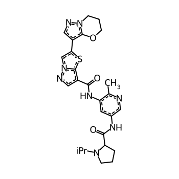 Cc1ncc(NC(=O)C2CCCN2C(C)C)cc1NC(=O)c1cnn2cc(-c3cnn4c3OCCC4)sc12